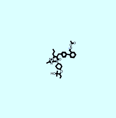 CCCc1c(Cc2ccc(-c3ccccc3/C=N/OC(C)=O)cc2)c(=O)n(C2CCC(OC(CC)C(C)(C)O)CC2)c2nc(C)nn12